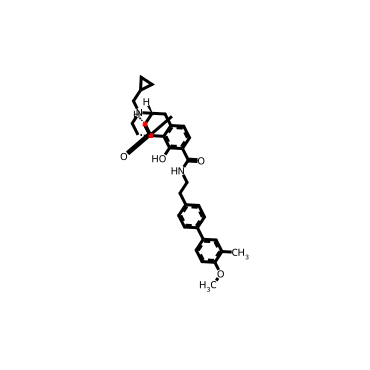 COc1ccc(-c2ccc(CCNC(=O)c3ccc4c(c3O)[C@]35CCN(CC6CC6)[C@H](C4)[C@@H]3CCC(=O)C5)cc2)cc1C